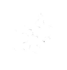 CCC1=C(c2cc(C)cc(C)c2)[N+](=[N-])C(c2cc(C)cc(C)c2)=C1C.[CH3][Ni][CH3]